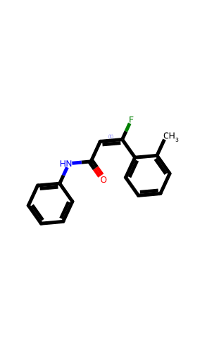 Cc1ccccc1/C(F)=C\C(=O)Nc1ccccc1